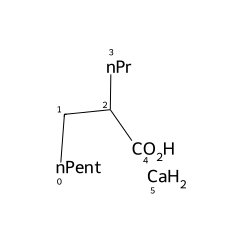 CCCCCCC(CCC)C(=O)O.[CaH2]